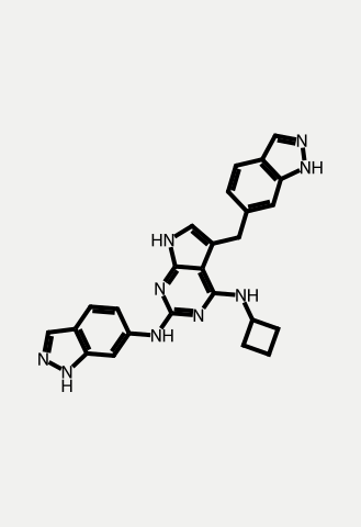 c1cc2cn[nH]c2cc1Cc1c[nH]c2nc(Nc3ccc4cn[nH]c4c3)nc(NC3CCC3)c12